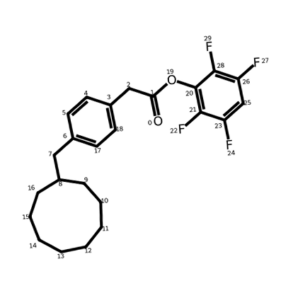 O=C(Cc1ccc(CC2CCCCCCCC2)cc1)Oc1c(F)c(F)cc(F)c1F